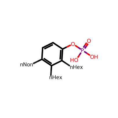 CCCCCCCCCc1ccc(OP(=O)(O)O)c(CCCCCC)c1CCCCCC